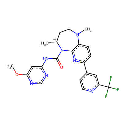 COc1cc(NC(=O)N2c3nc(-c4ccnc(C(F)(F)F)c4)ccc3N(C)CC[C@H]2C)ncn1